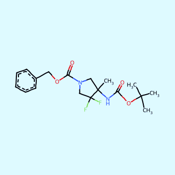 CC(C)(C)OC(=O)NC1(C)CN(C(=O)OCc2ccccc2)CC1(F)F